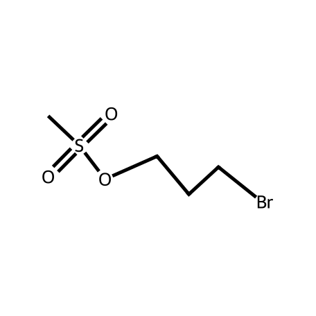 CS(=O)(=O)OCCCBr